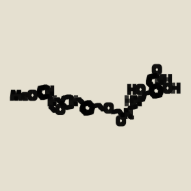 COc1ccnc(N2CCOC3(CCN(Cc4cccc(CCOCCC(=O)N(C)CCNCC(O)c5ccc(O)c6[nH]c(=O)ccc56)c4)CC3)C2)c1